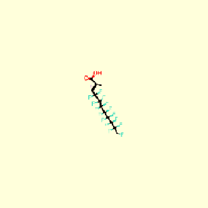 C/C(=C\C(F)(F)C(F)(F)C(F)(F)C(F)(F)C(F)(F)C(F)(F)C(F)(F)CF)C(=O)O